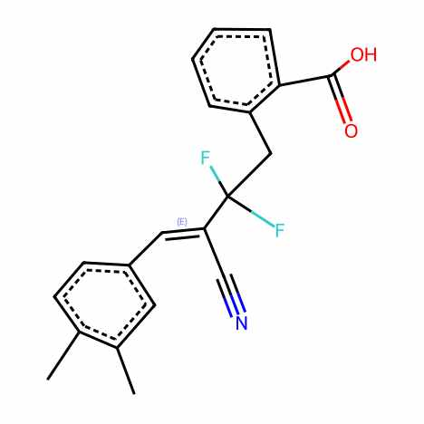 Cc1ccc(/C=C(\C#N)C(F)(F)Cc2ccccc2C(=O)O)cc1C